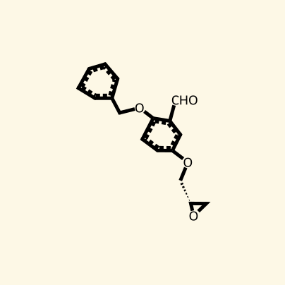 O=Cc1cc(OC[C@@H]2CO2)ccc1OCc1ccccc1